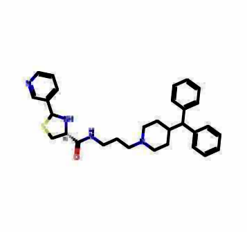 O=C(NCCCN1CCC(C(c2ccccc2)c2ccccc2)CC1)[C@@H]1CSC(c2cccnc2)N1